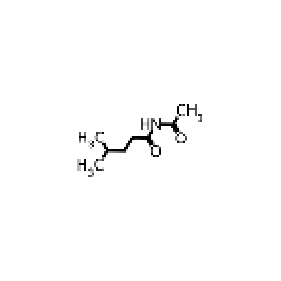 CC(=O)NC(=O)CCC(C)C